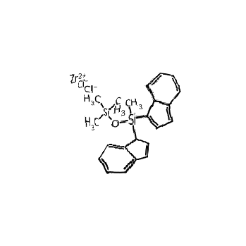 C[Si](C)(C)O[Si](C)(C1=CC=C2C=CC=CC21)C1C=Cc2ccccc21.[Cl-].[Cl-].[Zr+2]